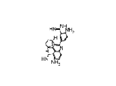 N=Cc1c(N)ccc2nc(-c3ccc(N)c(C(=N)N)c3)c3c(c12)[C@@H]1CC[C@H]3C1